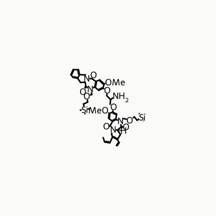 C=CC1=C(/C=C\C)CN2C(=O)c3cc(OC)c(OCC(N)COc4cc5c(cc4OC)C(=O)N4Cc6ccccc6CC4C(=O)N5COCC[Si](C)(C)C)cc3N(COCC[Si](C)(C)C)C(=O)[C@@H]2C1